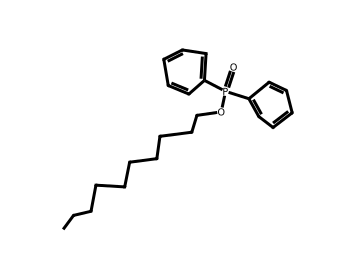 CCCCCCCCCCOP(=O)(c1ccccc1)c1ccccc1